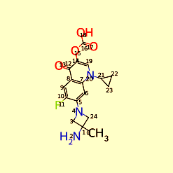 CC1(N)CN(c2cc3c(cc2F)c(=O)c(OC(=O)O)cn3C2CC2)C1